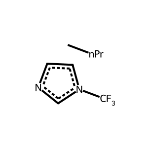 CCCC.FC(F)(F)n1ccnc1